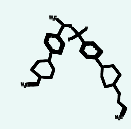 C=CCCC1CCC(c2ccc(C(F)(F)OC(C)c3ccc(C4CCC(C=C)CC4)cc3)cc2)CC1